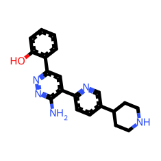 Nc1nnc(-c2ccccc2O)cc1-c1ccc(C2CCNCC2)cn1